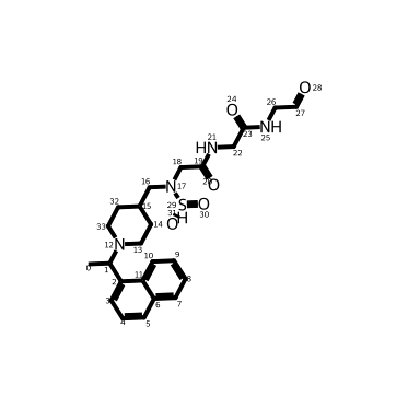 CC(c1cccc2ccccc12)N1CCC(CN(CC(=O)NCC(=O)NCC=O)[SH](=O)=O)CC1